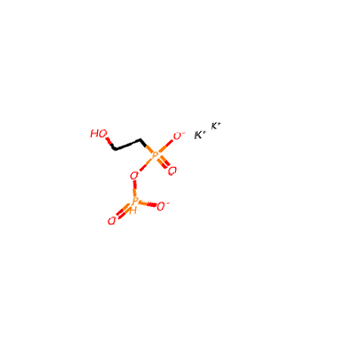 O=[PH]([O-])OP(=O)([O-])CCO.[K+].[K+]